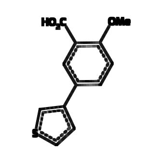 COc1ccc(-c2ccsc2)cc1C(=O)O